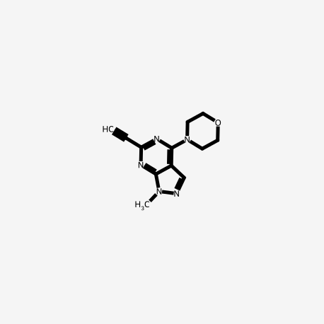 C#Cc1nc(N2CCOCC2)c2cnn(C)c2n1